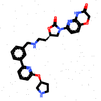 O=C1COc2ccc(N3C[C@H](CCNCc4cccc(-c5cccc(O[C@H]6CCNC6)n5)c4)OC3=O)nc2N1